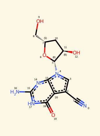 N#Cc1cn([C@@H]2O[C@H](CO)C[C@H]2O)c2nc(N)[nH]c(=O)c12